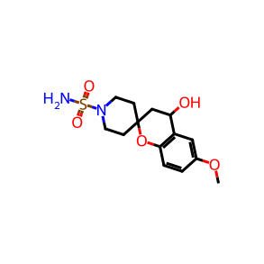 COc1ccc2c(c1)C(O)CC1(CCN(S(N)(=O)=O)CC1)O2